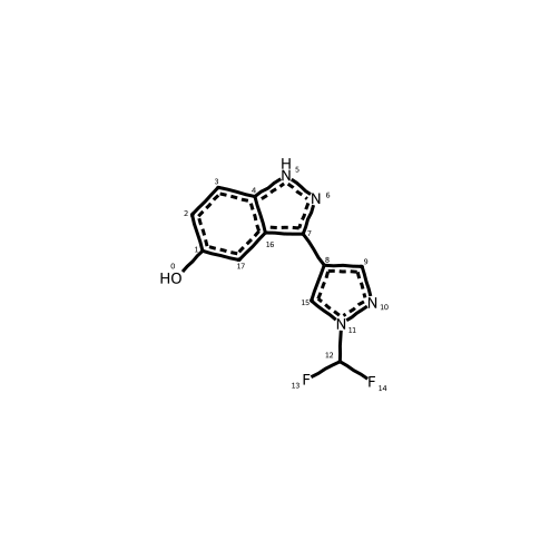 Oc1ccc2[nH]nc(-c3cnn(C(F)F)c3)c2c1